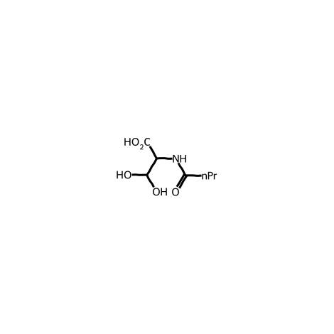 CCCC(=O)NC(C(=O)O)C(O)O